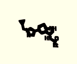 CCC(=O)Nc1c[nH]c2ccc(-c3cnn(CC4CC4)c3)cc12